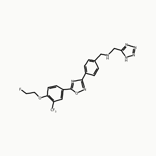 FCCOc1ccc(-c2nc(-c3ccc(CNCc4nnn[nH]4)cc3)no2)cc1C(F)(F)F